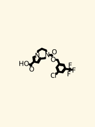 O=C(O)c1cc2n(c1)CCCN(C(=O)OCc1cc(Cl)cc(C(F)(F)F)c1)C2